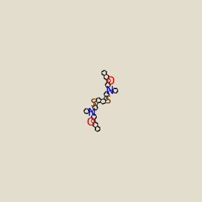 c1ccc(N(c2ccc3c(c2)oc2cc4ccccc4cc23)c2ccc3c(c2)sc2ccc4c(ccc5sc6cc(N(c7ccccc7)c7ccc8c(c7)oc7cc9ccccc9cc78)ccc6c54)c23)cc1